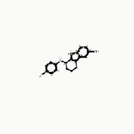 Fc1ccc(NC2CCCc3c2[nH]c2ccc(Cl)cc32)cc1